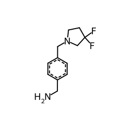 NCc1ccc(CN2CCC(F)(F)C2)cc1